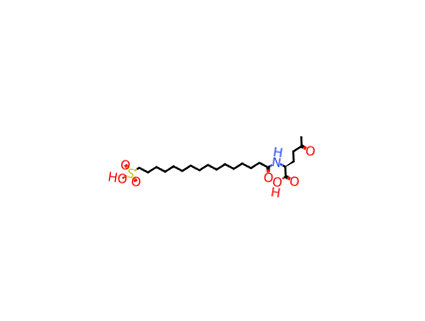 CC(=O)CC[C@H](NC(=O)CCCCCCCCCCCCCCCS(=O)(=O)O)C(=O)O